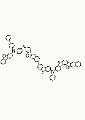 c1ccc(-c2ccc(N(c3ccc4c(c3)oc3ccccc34)c3ccc4c(c3)sc3ccc5c6cc7ccc(-c8ccc9sc%10cc(N(c%11ccccc%11)c%11ccc%12c(c%11)sc%11ccc%13c%14cc%15ccccc%15cc%14oc%13c%11%12)ccc%10c9c8)cc7cc6oc5c34)cc2)cc1